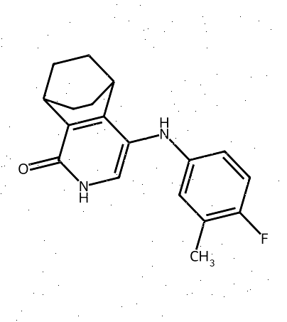 Cc1cc(Nc2c[nH]c(=O)c3c2C2CCC3CC2)ccc1F